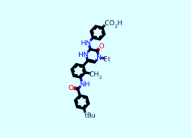 CCN1C=C(c2cccc(NC(=O)c3ccc(C(C)(C)C)cc3)c2C)NC(Nc2ccc(C(=O)O)cc2)C1=O